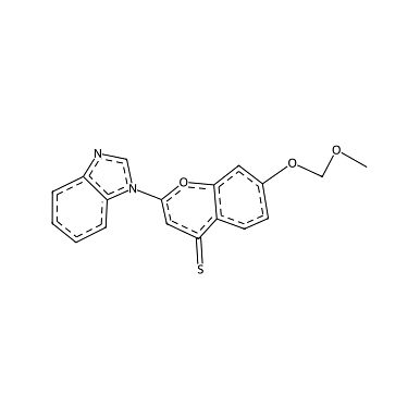 COCOc1ccc2c(=S)cc(-n3cnc4ccccc43)oc2c1